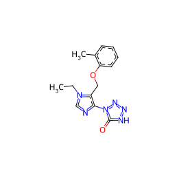 CCn1cnc(-n2nn[nH]c2=O)c1COc1ccccc1C